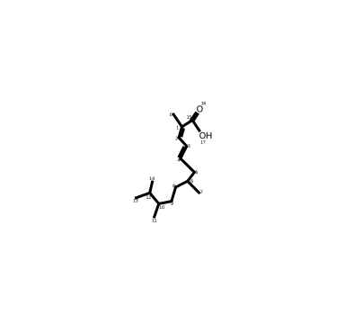 CC(=CC=CCC(C)CCC(C)C(C)C)C(=O)O